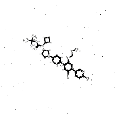 COCOc1cc(-c2ccc(C)nc2)c(F)cc1-c1ccc(N2CC[C@H](N(C(=O)OC(C)(C)C)C3CCC3)C2)nn1